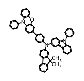 CC1(C)c2ccccc2-c2ccc(N(c3ccc(-c4ccc5c(c4)Oc4ccccc4N5c4ccccc4)cc3)c3ccc4c(c3)c3ccccc3n4-c3ccccc3)cc21